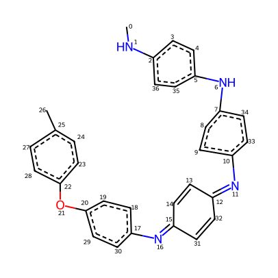 CNc1ccc(Nc2ccc(N=C3C=CC(=Nc4ccc(Oc5ccc(C)cc5)cc4)C=C3)cc2)cc1